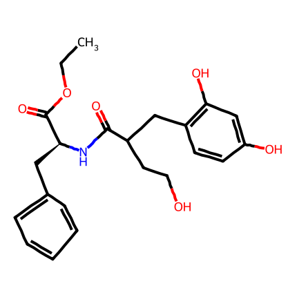 CCOC(=O)[C@H](Cc1ccccc1)NC(=O)C(CCO)Cc1ccc(O)cc1O